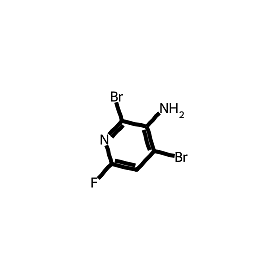 Nc1c(Br)cc(F)nc1Br